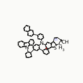 C#C/C=C\c1c(C)sc2ccc(N(c3cccc(-c4ccc5ccccc5c4)c3)c3ccc(-c4ccccc4-n4c5ccccc5c5ccccc54)cc3-c3ccccc3)cc12